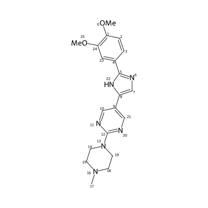 COc1ccc(-c2ncc(-c3cnc(N4CCN(C)CC4)nc3)[nH]2)cc1OC